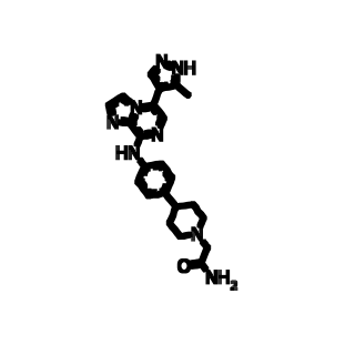 Cc1[nH]ncc1-c1cnc(Nc2ccc(C3CCN(CC(N)=O)CC3)cc2)c2nccn12